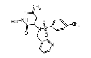 C=C(F)C[C@H](C(=O)NO)N(Cc1cccnc1)S(=O)(=O)c1ccc(C)cc1